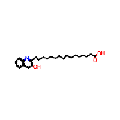 O=C(O)CCCCCCCCCCCCCCCc1nc2ccccc2cc1O